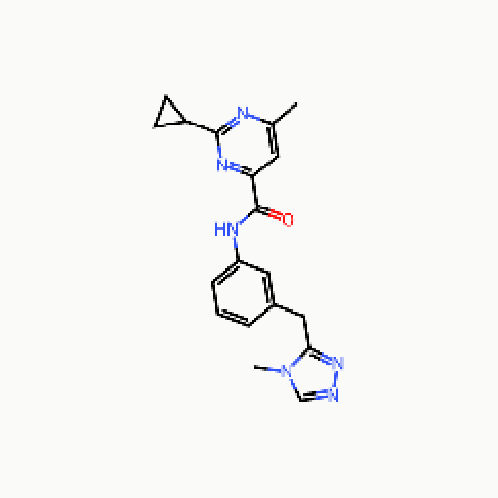 Cc1cc(C(=O)Nc2cccc(Cc3nncn3C)c2)nc(C2CC2)n1